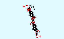 CC(CO)OC(=O)c1ccc2cc(C(=O)OCCOC(=O)c3ccc4cc(C(=O)OCCO)ccc4c3)ccc2c1